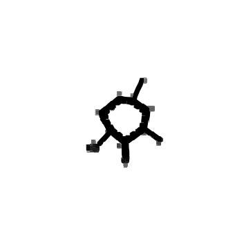 Cc1ccc(O)c(=O)c(C)c1